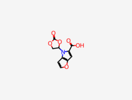 O=C1OCC(n2c(C(=O)O)cc3occc32)O1